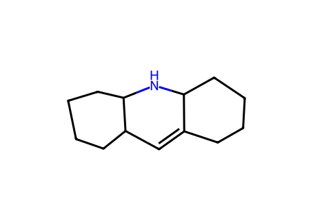 C1=C2CCCCC2NC2CCCCC12